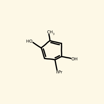 CCCc1cc(O)c(C)cc1O